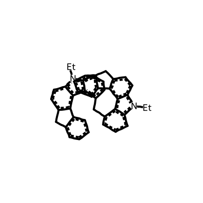 CCn1c2cccc(Cc3cccc4c3c3c5c(ccc3n4CC)Cc3ccccc3-5)c2c2c3c(ccc21)Cc1ccccc1-3